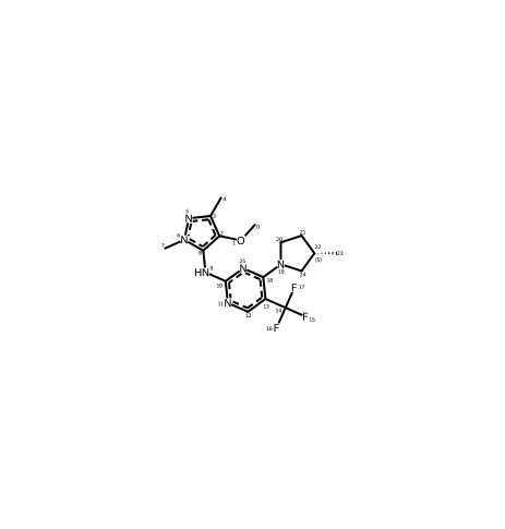 COc1c(C)nn(C)c1Nc1ncc(C(F)(F)F)c(N2CC[C@H](C)C2)n1